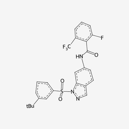 CC(C)(C)c1cccc(S(=O)(=O)n2ncc3ccc(NC(=O)c4c(F)cccc4C(F)(F)F)cc32)c1